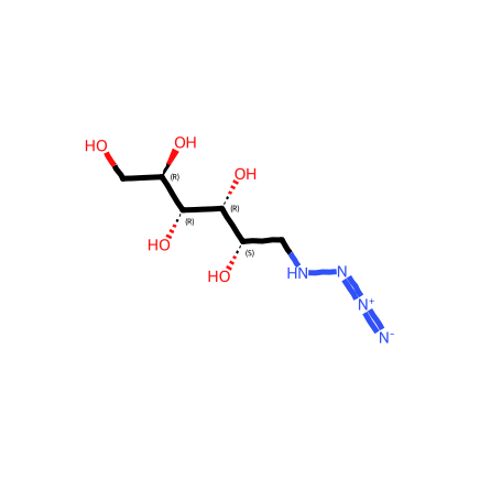 [N-]=[N+]=NNC[C@H](O)[C@@H](O)[C@H](O)[C@H](O)CO